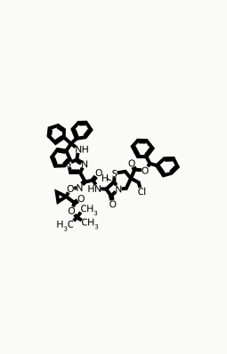 CC(C)(C)OC(=O)C1(ON=C(C(=O)NC2C(=O)N3CC(CCl)(C(=O)OC(c4ccccc4)c4ccccc4)CS[C@H]23)c2csc(NC(c3ccccc3)(c3ccccc3)c3ccccc3)n2)CC1